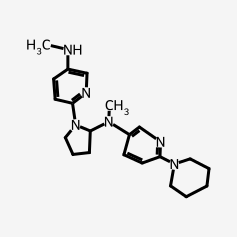 CNc1ccc(N2CCCC2N(C)c2ccc(N3CCCCC3)nc2)nc1